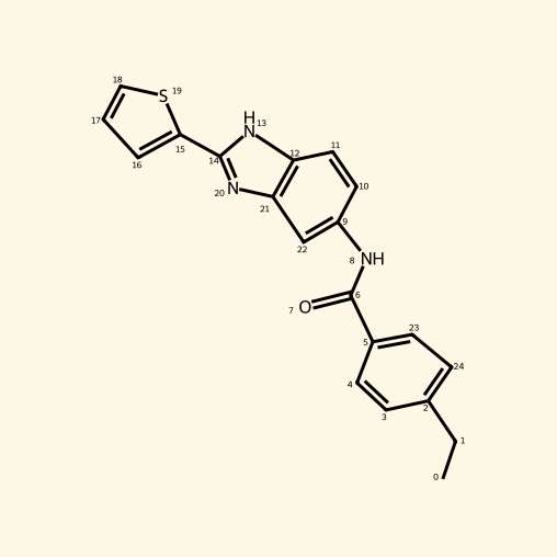 CCc1ccc(C(=O)Nc2ccc3[nH]c(-c4cccs4)nc3c2)cc1